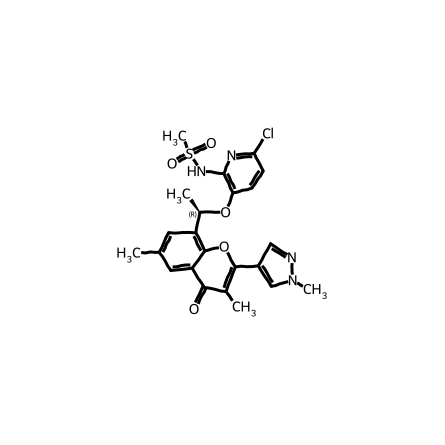 Cc1cc([C@@H](C)Oc2ccc(Cl)nc2NS(C)(=O)=O)c2oc(-c3cnn(C)c3)c(C)c(=O)c2c1